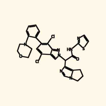 O=C(Nc1nccs1)C(c1ncn2c1CCC2)n1cc2c(Cl)cc(-c3ccccc3N3CCOCC3)c(Cl)c2n1